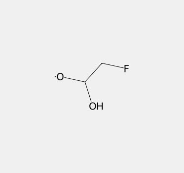 [O]C(O)CF